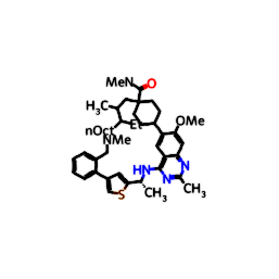 CCCCCCCCC(CC)C(C)CC1(C(=O)NC)CCC(c2cc3c(N[C@H](C)c4cc(-c5ccccc5CNC)cs4)nc(C)nc3cc2OC)CC1